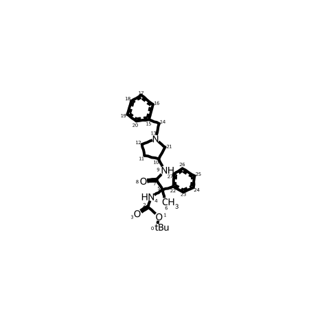 CC(C)(C)OC(=O)NC(C)(C(=O)NC1CCN(Cc2ccccc2)C1)c1ccccc1